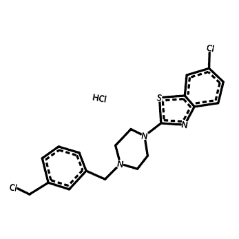 Cl.ClCc1cccc(CN2CCN(c3nc4ccc(Cl)cc4s3)CC2)c1